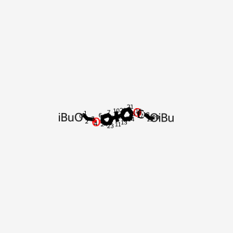 CC(C)COCCCOc1ccc(C(C)(C)c2ccc(OCCCOCC(C)C)cc2)cc1